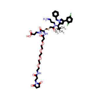 CC(C)(C)[C@H](c1cc(-c2cc(F)ccc2F)cn1Cc1ccccc1)N(CCCN)C(=O)CSC[C@H](NC(=O)CCOCCOCCOCCOCCNC(=O)CCN1C(=O)CCC1=O)C(=O)NCCC(=O)O